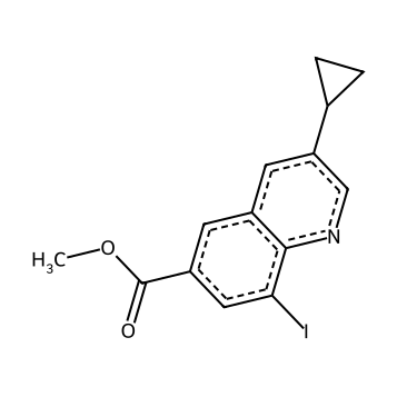 COC(=O)c1cc(I)c2ncc(C3CC3)cc2c1